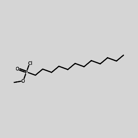 CCCCCCCCCCCCP(=O)(Cl)OC